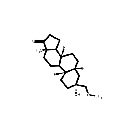 COC[C@@]1(O)CC[C@]2(F)C3CC[C@]4(C)C(=O)CCC4[C@@H]3CC[C@@H]2C1